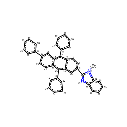 CCn1c(-c2ccc3c(-c4ccccc4)c4cc(-c5ccccc5)ccc4c(-c4ccccc4)c3c2)nc2ccccc21